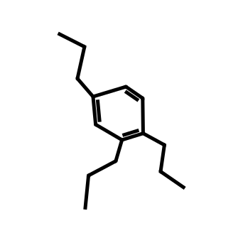 CCCc1ccc(CCC)c(CCC)c1